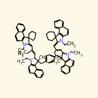 CCC(=CC1=[N+](CC)c2ccc3ccccc3c2C1(C)Cc1ccc(CC2(C)C(C=C(C=C3N(CC)c4ccc5ccccc5c4C34CCCCC4)CC)=[N+](CC)c3ccc4ccccc4c32)cc1)C=C1N(CC)c2ccc3ccccc3c2C12CCCCC2